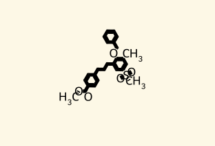 COC(=O)c1ccc(CCCc2cc(S(C)(=O)=O)cc(C)c2OCc2ccccc2)cc1